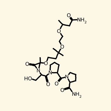 CC(CC(N)=O)OCCOC(C)(C)CCOC1(C)C(=O)N1C(CO)C(=O)N1CCCC1C(=O)N1CCCC1C(N)=O